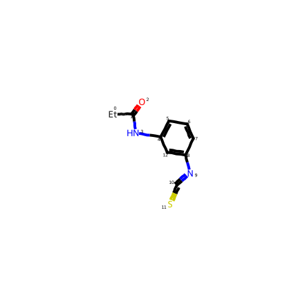 CCC(=O)Nc1cccc(N=C=S)c1